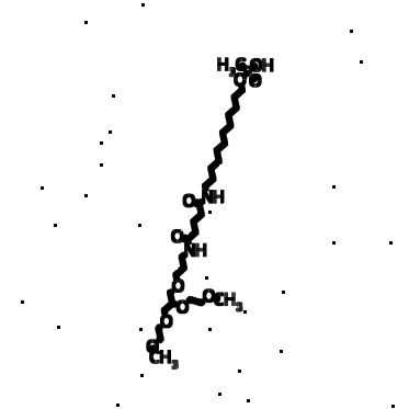 COCCOCC(COCCCNC(=O)CCCC(=O)NCCCCCCCCCCCCOP(C)(=O)O)OCCOC